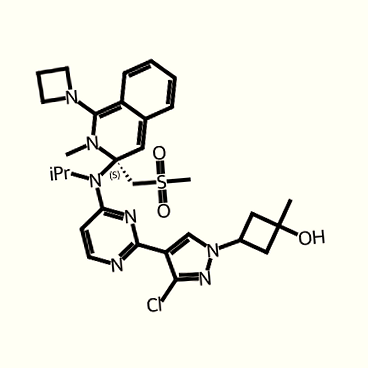 CC(C)N(c1ccnc(-c2cn(C3CC(C)(O)C3)nc2Cl)n1)[C@]1(CS(C)(=O)=O)C=c2ccccc2=C(N2CCC2)N1C